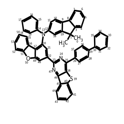 CC1(C)c2ccccc2-c2ccc(N(c3ccccc3)c3cc(-c4nc(-c5ccc(-c6ccccc6)cc5)c5sc6ccccc6c5n4)cc4oc5ccccc5c34)cc21